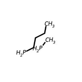 CCCCP.CP